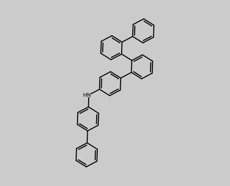 c1ccc(-c2ccc(Nc3ccc(-c4ccccc4-c4ccccc4-c4ccccc4)cc3)cc2)cc1